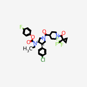 CCN(C(=O)Oc1ccc(F)cc1)[C@@H]1CN(C(=O)C2CCN(C(=O)C3(C(F)(F)F)CC3)CC2)C[C@H]1c1ccc(Cl)cc1